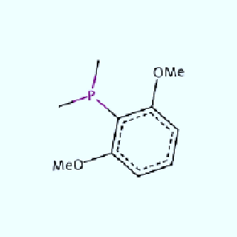 COc1cccc(OC)c1P(C)C